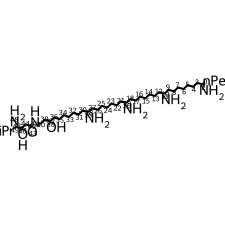 CCCCCC(N)CCCCCCCC(N)CCCCCCCC(N)CCCCCCCC(N)CCCCCCCC(O)CCNC(=O)CC(O)C(N)C(C)C